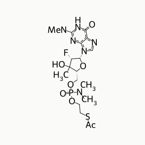 CNc1nc2c(ncn2[C@@H]2O[C@H](COP(=O)(OCCSC(C)=O)N(C)C)C(C)(O)[C@@H]2F)c(=O)[nH]1